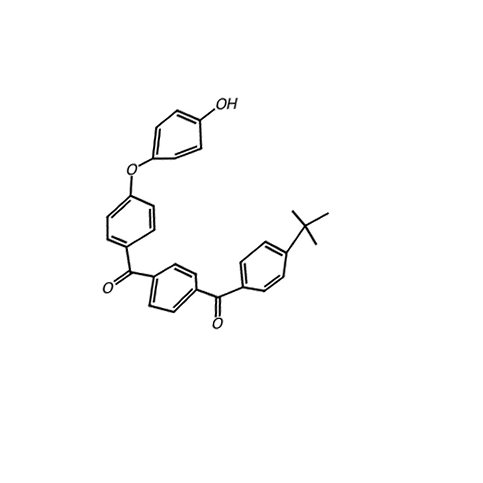 CC(C)(C)c1ccc(C(=O)c2ccc(C(=O)c3ccc(Oc4ccc(O)cc4)cc3)cc2)cc1